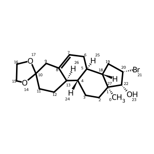 C[C@]12CC[C@H]3[C@@H](CC=C4CC5(CC[C@@H]43)OCCO5)[C@@H]1C[C@H](Br)[C@@H]2O